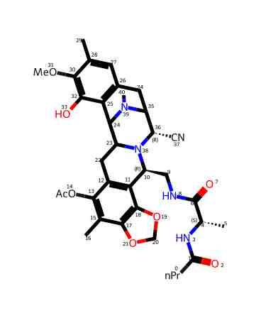 CCCC(=O)N[C@@H](C)C(=O)NC[C@H]1c2c(c(OC(C)=O)c(C)c3c2OCO3)CC2C3c4c(cc(C)c(OC)c4O)CC([C@H](C#N)N21)N3C